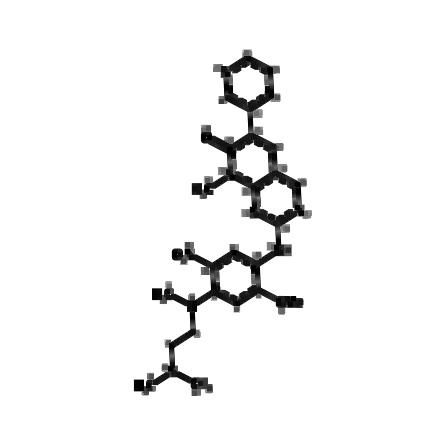 COc1cc(N(C)CCN(C)C)c([N+](=O)[O-])cc1Nc1ncc2cc(-c3cccnc3)c(=O)n(C)c2n1